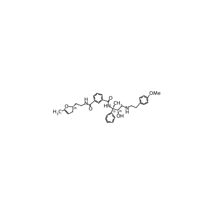 COc1ccc(CCNC[C@@H](O)[C@@](C)(NC(=O)c2cccc(C(=O)NCC[C@H]3CC=C(C)O3)c2)c2ccccc2)cc1